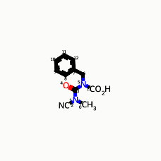 CN(C#N)C(=O)N(Cc1ccccc1)C(=O)O